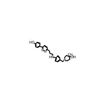 CC1(O)CCN(Cc2ccc(NCCCc3ccc(-c4ccc(O)cc4)nn3)cc2)CC1